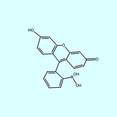 O=c1ccc2c(-c3ccccc3B(O)O)c3ccc(O)cc3oc-2c1